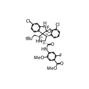 COC(=O)c1cc(OC)c(NC(=O)[C@@H]2N[C@@H](CC(C)(C)C)C3(C(=O)Nc4cc(Cl)ccc43)[C@H]2c2cccc(Cl)c2F)cc1F